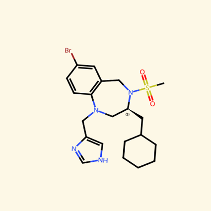 CS(=O)(=O)N1Cc2cc(Br)ccc2N(Cc2c[nH]cn2)C[C@@H]1CC1CCCCC1